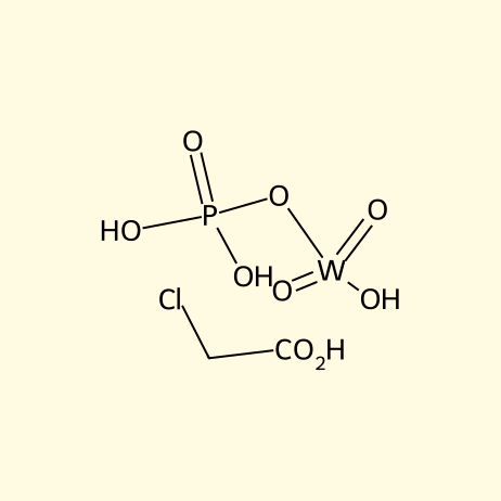 O=C(O)CCl.O=P(O)(O)[O][W](=[O])(=[O])[OH]